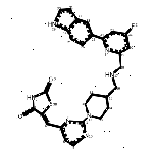 O=C1NC(=O)C(=Cc2ccnc(N3CCC(CNCc4cc(F)cc(-c5ccc6[nH]ccc6c5)n4)CC3)n2)S1